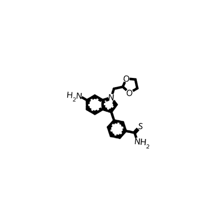 NC(=S)c1cccc(-c2cn(CC3OCCO3)c3cc(N)ccc23)c1